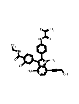 C=C(F)C(=O)Nc1ccc(-c2c(-c3ccc(C(=O)NCC(F)(F)F)c(Cl)c3)c3c(N)ncc(C#CCO)c3n2C)cc1